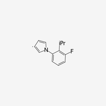 CC(C)c1c(F)cccc1-n1c[c]cc1